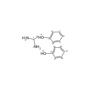 CC(N)N.Oc1ccccc1.Oc1ccccc1